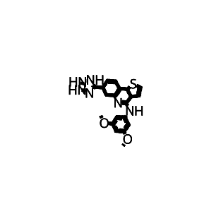 COc1cc(NC2=NC3=C(C=CC(C4=NNNN4)C3)C3SC=CC23)cc(OC)c1